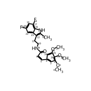 COc1cc(/C=C\C(=O)NCCc2c(C)[nH]c3c(F)cc(F)cc23)cc(OC)c1OC